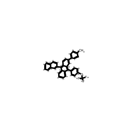 Cc1ccc(-c2ccc3c(-c4ccc5ccccc5c4)c4ccccc4c(-c4ccc(OC(F)(F)F)cc4)c3c2)cc1